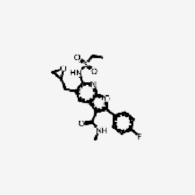 CCS(=O)(=O)Nc1nc2oc(-c3ccc(F)cc3)c(C(=O)NC)c2cc1CC1CO1